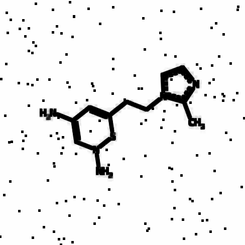 Cc1nccn1CCC1=CC(N)=CN(N)S1